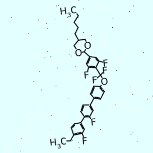 CCCCCC1COC(c2cc(F)c(C(F)(F)Oc3ccc(-c4ccc(-c5ccc(CC)c(F)c5)c(F)c4)cc3)c(F)c2)OC1